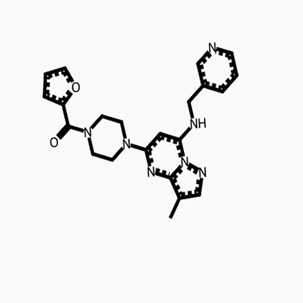 Cc1cnn2c(NCc3cccnc3)cc(N3CCN(C(=O)c4ccco4)CC3)nc12